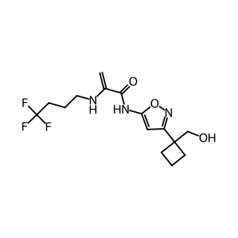 C=C(NCCCC(F)(F)F)C(=O)Nc1cc(C2(CO)CCC2)no1